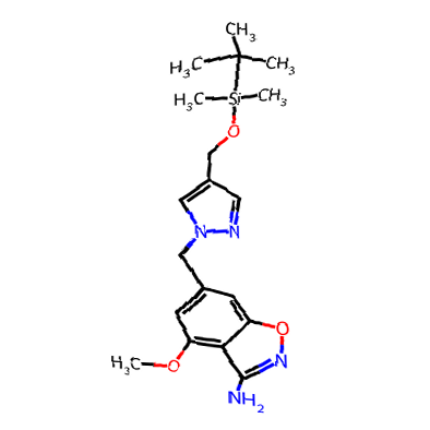 COc1cc(Cn2cc(CO[Si](C)(C)C(C)(C)C)cn2)cc2onc(N)c12